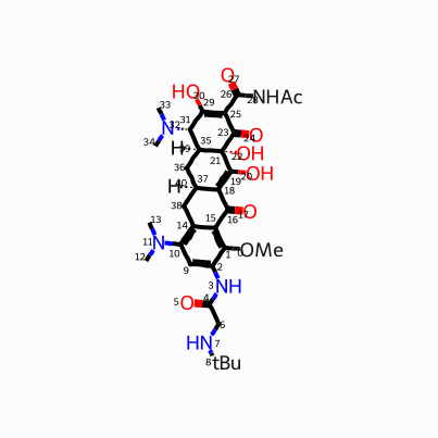 COc1c(NC(=O)CNC(C)(C)C)cc(N(C)C)c2c1C(=O)C1=C(O)[C@]3(O)C(=O)C(C(=O)NC(C)=O)=C(O)[C@@H](N(C)C)[C@@H]3C[C@@H]1C2